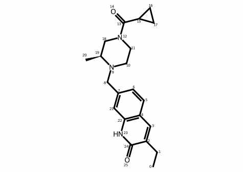 CCc1cc2ccc(CN3CCN(C(=O)C4CC4)C[C@@H]3C)cc2[nH]c1=O